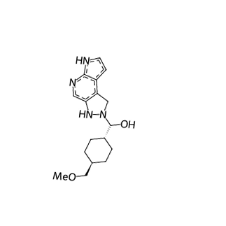 COC[C@H]1CC[C@H](C(O)N2Cc3c(cnc4[nH]ccc34)N2)CC1